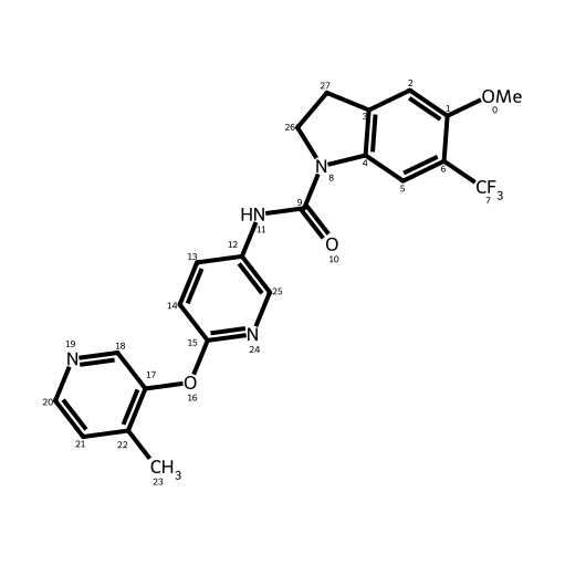 COc1cc2c(cc1C(F)(F)F)N(C(=O)Nc1ccc(Oc3cnccc3C)nc1)CC2